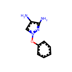 Nc1cn(Oc2ccccc2)nc1N